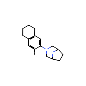 N#Cc1cc2c(cc1N1CC3CCC(C1)N3)CCCC2